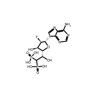 Nc1ncnc2c1ncn2[C@@H]1O[C@H](C(O)C(P(=O)(O)O)P(=O)(O)O)[C@@H](O)[C@H]1F